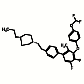 CCC[C@H]1CC[C@H](CCc2ccc(-c3cc(F)c(F)c(Oc4ccc(OC(F)F)cc4)c3C)cc2)CC1